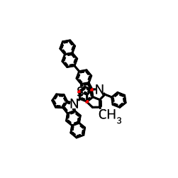 C/C1=C(c2cccc(-n3c4ccccc4c4cc5ccccc5cc43)c2)\C(c2ccccc2)=N/c2c(sc3cc(-c4ccc5ccccc5c4)ccc23)CC1